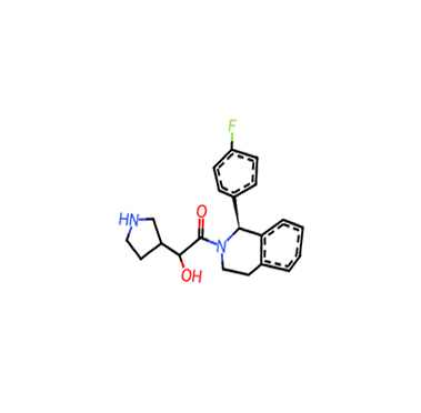 O=C(C(O)C1CCNC1)N1CCc2ccccc2[C@@H]1c1ccc(F)cc1